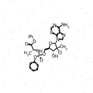 CC(C)OC(=O)[C@@H](C)NP(=O)(O/C=C1/O[C@@H](n2cnc3c(N)ncnc32)[C@](C)(Cl)[C@@H]1O)Oc1ccccc1